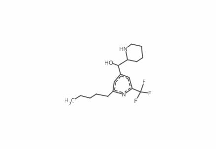 CCCCCc1cc(C(O)C2CCCCN2)cc(C(F)(F)F)n1